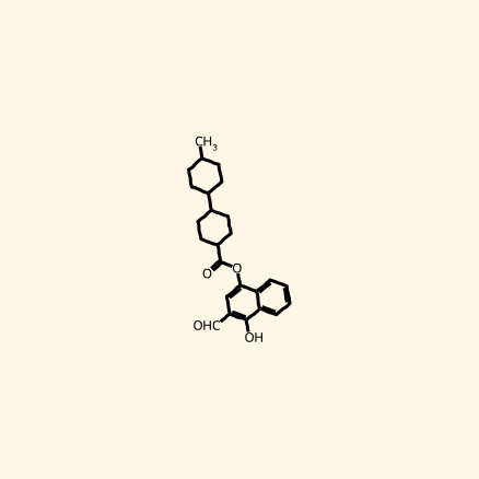 CC1CCC(C2CCC(C(=O)Oc3cc(C=O)c(O)c4ccccc34)CC2)CC1